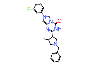 CC1CN(Cc2ccccc2)CC1C1=NC2=CN(c3cccc(F)c3)CN2C(=O)N1